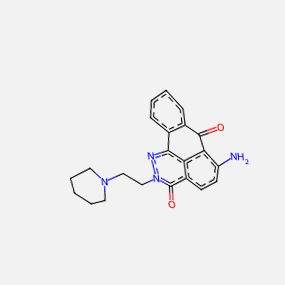 Nc1ccc2c(=O)n(CCN3CCCCC3)nc3c2c1C(=O)c1ccccc1-3